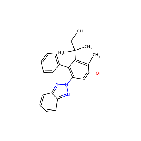 CCC(C)(C)c1c(C)c(O)cc(-n2nc3ccccc3n2)c1-c1ccccc1